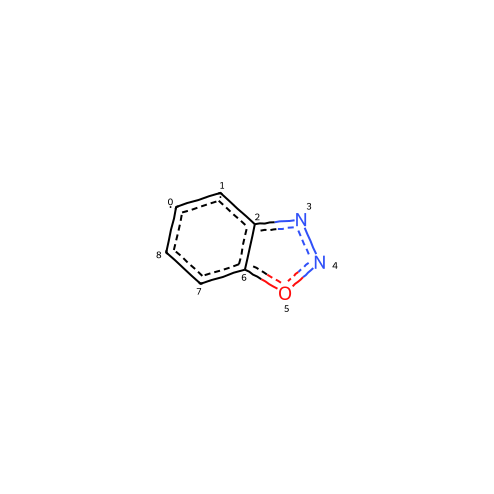 [c]1[c]c2nnoc2cc1